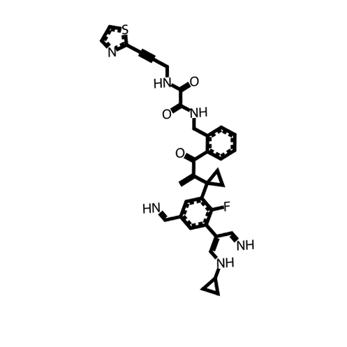 C=C(C(=O)c1ccccc1CNC(=O)C(=O)NCC#Cc1nccs1)C1(c2cc(C=N)cc(/C(C=N)=C/NC3CC3)c2F)CC1